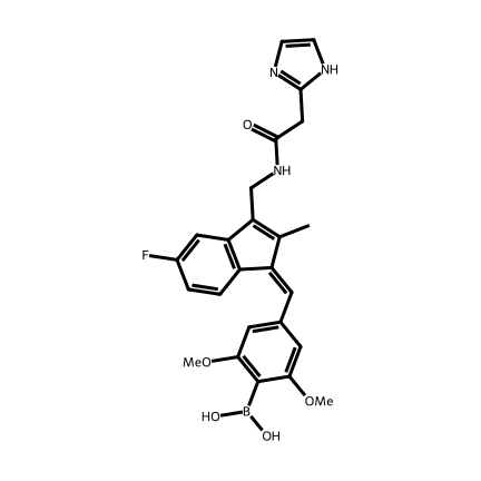 COc1cc(/C=C2/C(C)=C(CNC(=O)Cc3ncc[nH]3)c3cc(F)ccc32)cc(OC)c1B(O)O